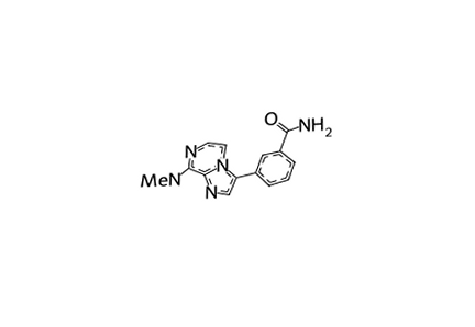 CNc1nccn2c(-c3cccc(C(N)=O)c3)cnc12